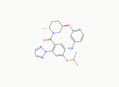 C[C@@H]1CC[C@@H](Oc2cc(N)ccn2)CN1C(=O)c1ccc(OC(F)F)cc1-n1nccn1